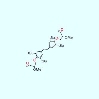 COC(COc1c(C(C)(C)C)cc(CCc2cc(C(C)(C)C)c(OCC(OC)C3CO3)c(C(C)(C)C)c2)cc1C(C)(C)C)C1CO1